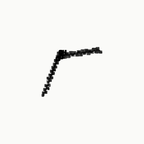 CCCCCC=CCC=CCC=CCC=CCCCCOCC(CO)OCCCCC=CCC=CCC=CCC=CCCCCC